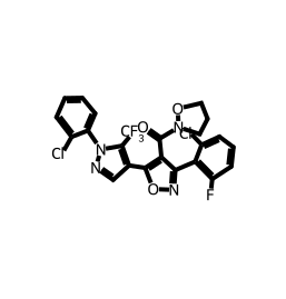 O=C(c1c(-c2c(F)cccc2Cl)noc1-c1cnn(-c2ccccc2Cl)c1C(F)(F)F)N1CCCO1